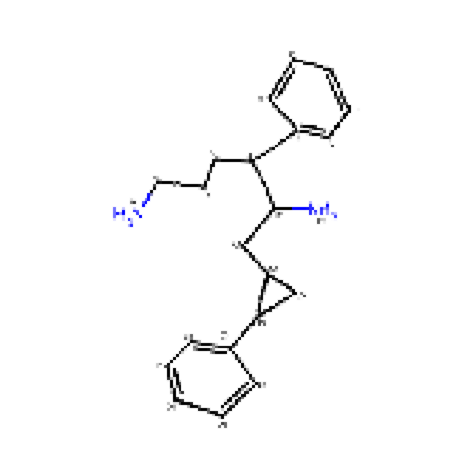 NCCCC(c1ccccc1)C(N)CC1CC1c1ccccc1